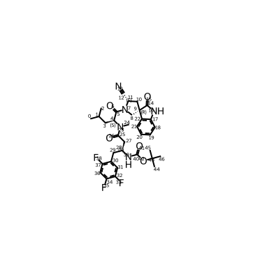 CC(C)C[C@@H](C(=O)N1C[C@]2(C[C@H]1C#N)C(=O)Nc1ccccc12)N(C)C(=O)C[C@H](Cc1cc(F)c(F)cc1F)NC(=O)OC(C)(C)C